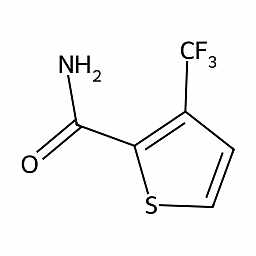 NC(=O)c1sccc1C(F)(F)F